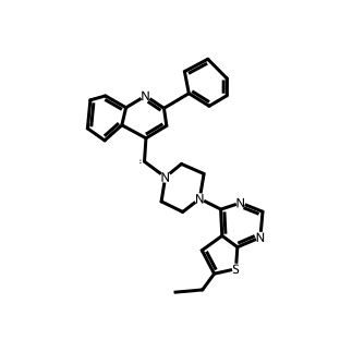 CCc1cc2c(N3CCN([C]c4cc(-c5ccccc5)nc5ccccc45)CC3)ncnc2s1